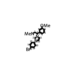 CNCC(c1cccc(OC)c1)N1C=CN(c2ccc(Br)cc2)C1